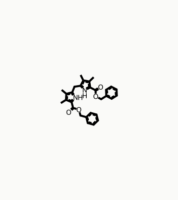 Cc1c(Cc2[nH]c(C(=O)OCc3ccccc3)c(C)c2C)[nH]c(C(=O)OCc2ccccc2)c1C